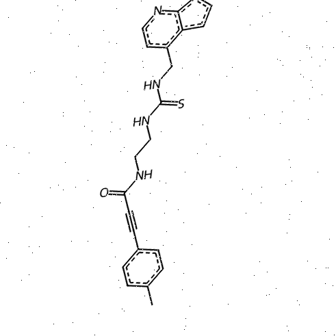 Cc1ccc(C#CC(=O)NCCNC(=S)NCc2ccnc3[nH]ccc23)cc1